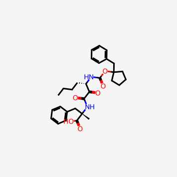 CCCC[C@H](NC(=O)OC1(Cc2ccccc2)CCCC1)C(=O)C(=O)N[C@@](C)(Cc1ccccc1)C(=O)O